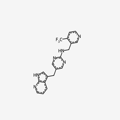 FC(F)(F)c1ccncc1CNc1ncc(Cc2c[nH]c3ncccc23)cn1